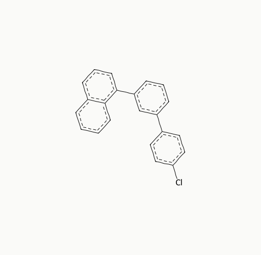 Clc1ccc(-c2cccc(-c3cccc4ccccc34)c2)cc1